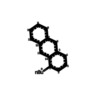 CCCCc1cccc2cc3ccc[c]c3cc12